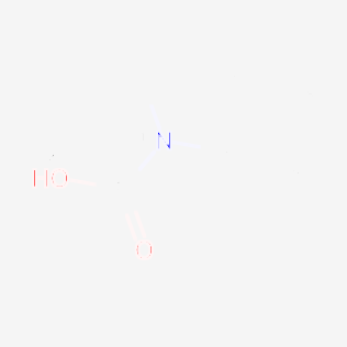 CN(C(=O)O)C1(C)CCC1